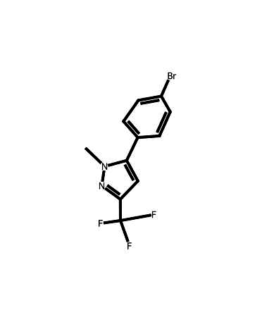 Cn1nc(C(F)(F)F)cc1-c1ccc(Br)cc1